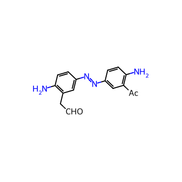 CC(=O)c1cc(N=Nc2ccc(N)c(CC=O)c2)ccc1N